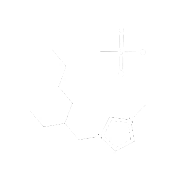 CCCCC(CC)C[n+]1ccn(C)c1.CS(=O)(=O)[O-]